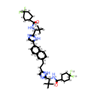 CC(C)(C)[C@H](NC(=O)C1CCC(F)(F)CC1)c1ncc(CCc2ccc3cc(-c4cnc([C@@H](NC(=O)C5CCC(F)(F)CC5)C(C)(C)C)[nH]4)ccc3c2)[nH]1